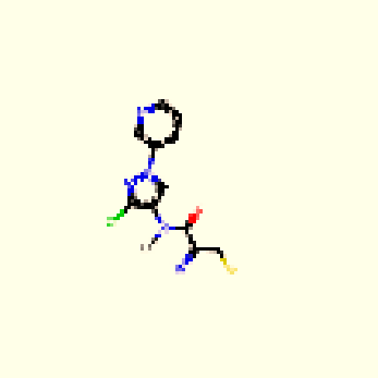 CCN(C(=O)C(=N)CS)c1cn(-c2cccnc2)nc1Cl